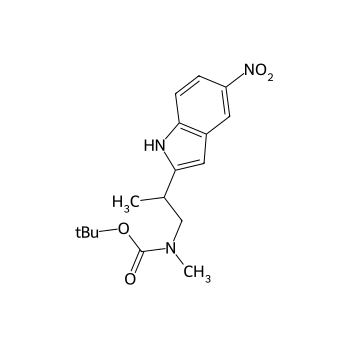 CC(CN(C)C(=O)OC(C)(C)C)c1cc2cc([N+](=O)[O-])ccc2[nH]1